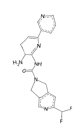 NC1CC=C(c2cccnc2)N=C1NC(=O)N1Cc2cnc(C(F)F)cc2C1